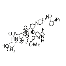 COC(C)COc1nc2[nH]cc(F)c2cc1Oc1cc(N2CCC3(CC2)CC(N2CCC[C@@H]2c2ccccc2C(C)C)C3)ccc1C(=O)NS(=O)(=O)c1cc2c(c([N+](=O)[O-])c1)N[C@@H]([C@H]1CC[C@](C)(O)CC1)CO2